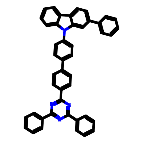 c1ccc(-c2ccc3c4ccccc4n(-c4ccc(-c5ccc(-c6nc(-c7ccccc7)nc(-c7ccccc7)n6)cc5)cc4)c3c2)cc1